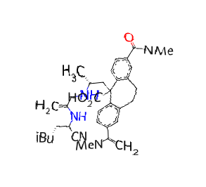 C=C(CN[C@H](C)CC1(C(=O)O)c2ccc(C(=C)NC)cc2CCc2cc(C(=O)NC)ccc21)NC(C#N)C[C@@H](C)CC